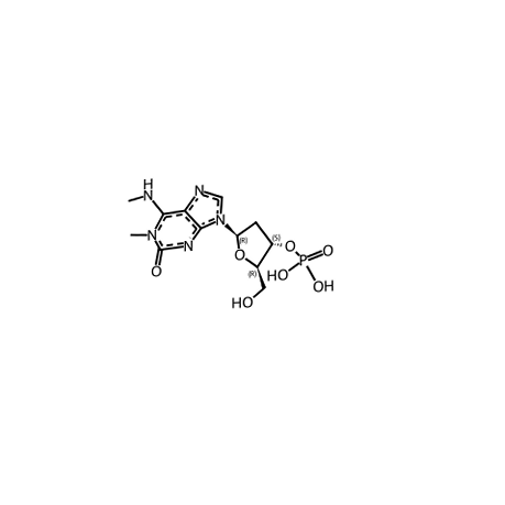 CNc1c2ncn([C@H]3C[C@H](OP(=O)(O)O)[C@@H](CO)O3)c2nc(=O)n1C